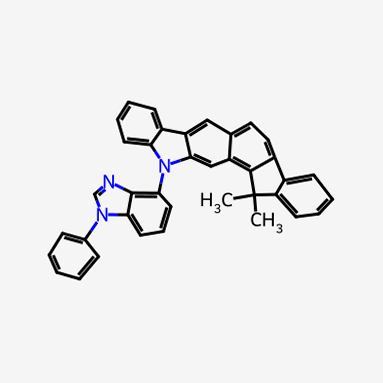 CC1(C)c2ccccc2-c2ccc3cc4c5ccccc5n(-c5cccc6c5ncn6-c5ccccc5)c4cc3c21